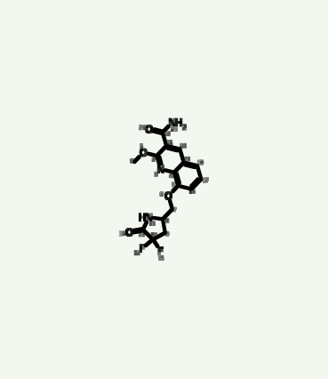 COc1nc2c(OCC3CC(F)(F)C(=O)N3)cccc2cc1C(N)=O